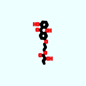 CC=C(O)C(=O)OCCCOc1ccc(C(=O)c2ccccc2O)c(O)c1